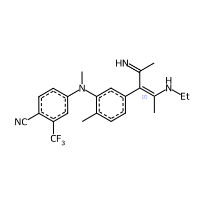 CCN/C(C)=C(\C(C)=N)c1ccc(C)c(N(C)c2ccc(C#N)c(C(F)(F)F)c2)c1